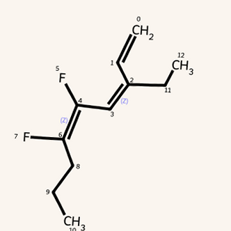 C=C/C(=C\C(F)=C(\F)CCC)CC